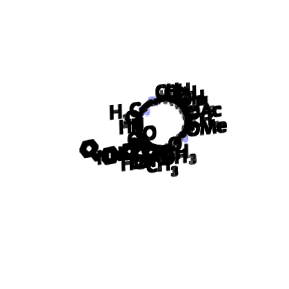 CO[C@H]1/C=C/O[C@@]2(C)Oc3c(C)c(O)c4c(=O)c(c5oc6cc(N7CCN(CC8CCCCC8)CC7)cc(O)c6nc-5c4c3/C2=N/O)NC(=O)/C(C)=C\C=C\[C@H](C)[C@H](O)[C@@H](C)[C@@H](O)[C@@H](C)[C@H](OC(C)=O)[C@@H]1C